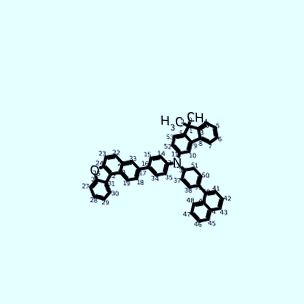 CC1(C)c2ccccc2-c2cc(N(c3ccc(-c4ccc5c(ccc6oc7ccccc7c65)c4)cc3)C3C=CC(c4cccc5ccccc45)=CC3)ccc21